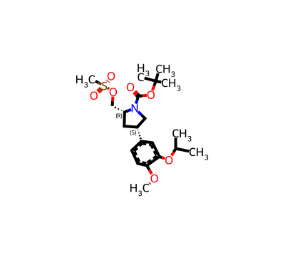 COc1ccc([C@@H]2C[C@H](COS(C)(=O)=O)N(C(=O)OC(C)(C)C)C2)cc1OC(C)C